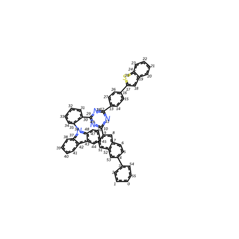 c1ccc(-c2ccc3cc(-c4nc(-c5ccc(-c6cc7ccccc7s6)cc5)nc(-c5ccccc5-n5c6ccccc6c6ccccc65)n4)ccc3c2)cc1